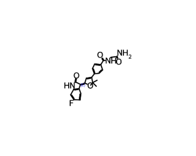 CC1(C)O/C(=C2/C(=O)Nc3cc(F)ccc32)C=C1c1ccc(C(=O)NCC(N)=O)cc1